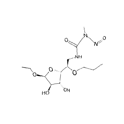 CCCO[C@H](CNC(=O)N(C)N=O)[C@H]1O[C@H](OCC)[C@H](O)[C@H]1O